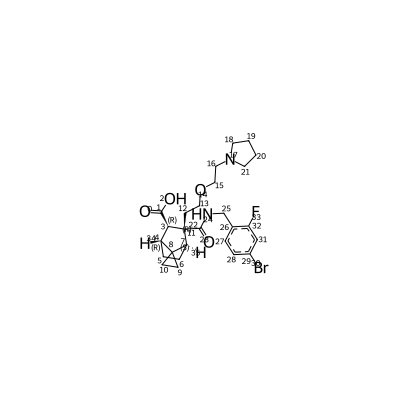 O=C(O)[C@@H]1[C@H]2CC[C@@H](C23CC3)[C@@]1(CCOCCN1CCCC1)C(=O)NCc1ccc(Br)cc1F